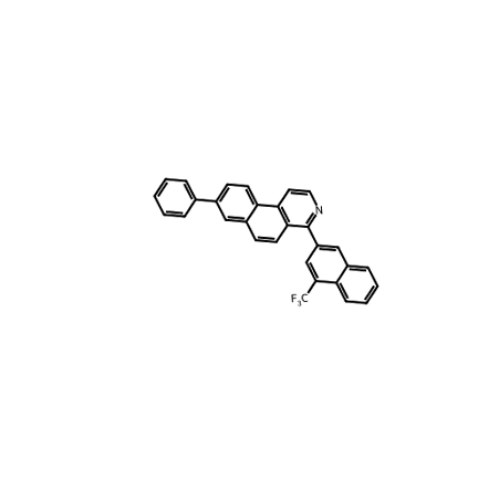 FC(F)(F)c1cc(-c2nccc3c2ccc2cc(-c4ccccc4)ccc23)cc2ccccc12